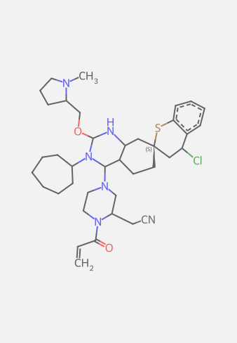 C=CC(=O)N1CCN(C2C3CC[C@@]4(CC(Cl)c5ccccc5S4)CC3NC(OCC3CCCN3C)N2C2CCCCCC2)CC1CC#N